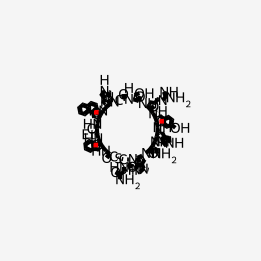 CC[C@@H]1NC(=O)[C@H](Cc2ccccc2)NC(=O)CSC[C@@H](C(=O)NCC(N)=O)NC(=O)[C@H](Cc2cncn2C)NC(=O)[C@H](CN)NC(=O)[C@H](Cc2c[nH]cn2)NC(=O)[C@H](Cc2ccc(O)cc2)N(C)C(=O)[C@H](CCCNC(=N)N)NC(=O)[C@H](CO)NC(=O)CNC(=O)[C@H](Cc2c[nH]cn2)NC(=O)[C@H](Cc2cccc3ccccc23)NC1=O